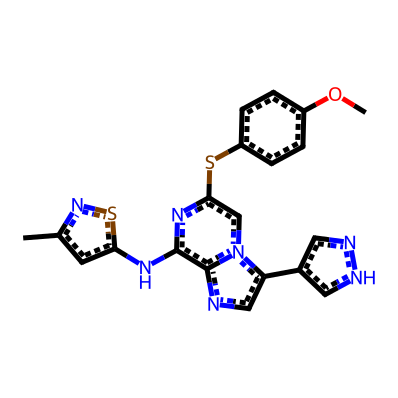 COc1ccc(Sc2cn3c(-c4cn[nH]c4)cnc3c(Nc3cc(C)ns3)n2)cc1